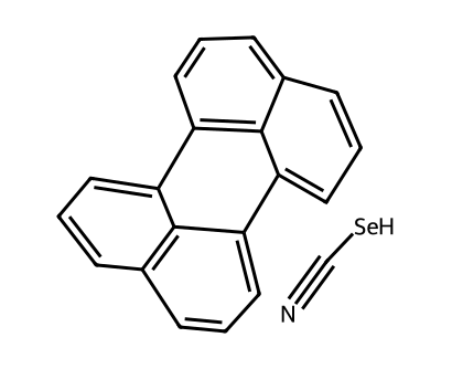 N#C[SeH].c1cc2cccc3c4cccc5cccc(c(c1)c23)c54